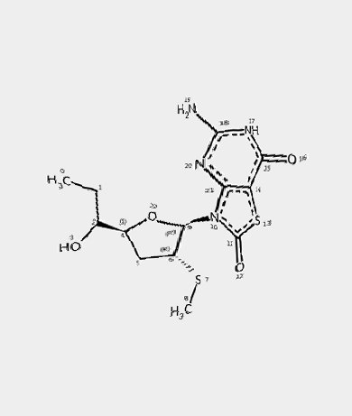 CCC(O)[C@@H]1C[C@@H](SC)[C@H](n2c(=O)sc3c(=O)[nH]c(N)nc32)O1